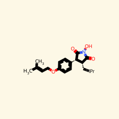 CC(C)=CCOc1ccc([C@@H]2C(=O)N(O)C(=O)[C@@H]2CC(C)C)cc1